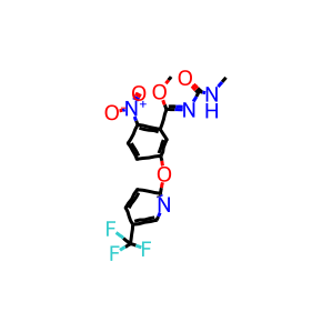 CNC(=O)N=C(OC)c1cc(Oc2ccc(C(F)(F)F)cn2)ccc1[N+](=O)[O-]